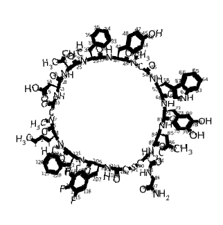 CCCC[C@H]1C(=O)N(C)CC(=O)N[C@@H](CC(=O)O)C(=O)N[C@@H](C(C)C)C(=O)N(C)[C@@H](Cc2ccccc2)C(=O)N[C@@H](Cc2ccc(O)cc2)C(=O)N(C)CC(=O)N[C@@H](Cc2c[nH]c3ccccc23)C(=O)N[C@@H](Cc2ccc(O)c(O)c2)C(=O)N[C@@H](CC(C)C)C(=O)N[C@H](C(=O)NCC(N)=O)CSCC(=O)N[C@@H](Cc2cc(F)c(F)c(F)c2)C(=O)N(C)[C@@H](Cc2ccccc2)C(=O)N1C